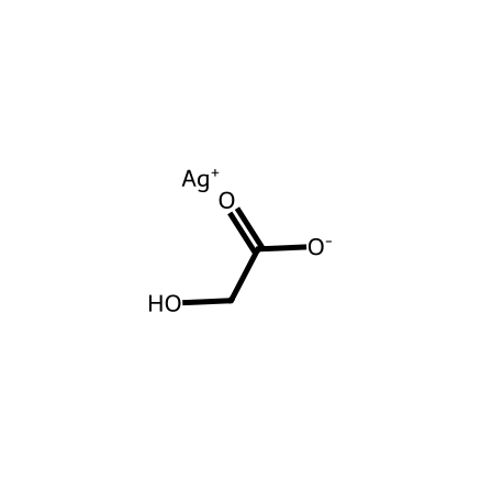 O=C([O-])CO.[Ag+]